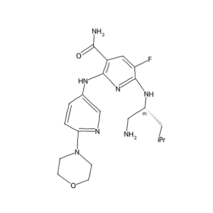 CC(C)C[C@H](CN)Nc1nc(Nc2ccc(N3CCOCC3)nc2)c(C(N)=O)cc1F